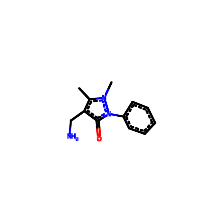 Cc1c(CN)c(=O)n(-c2ccccc2)n1C